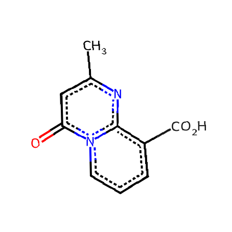 Cc1cc(=O)n2cccc(C(=O)O)c2n1